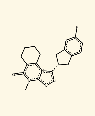 Cn1c(=O)c2c(n3c([C@H]4Cc5ccc(F)cc5C4)nnc13)CCCC2